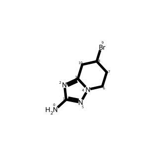 Nc1nc2n(n1)CCC(Br)C2